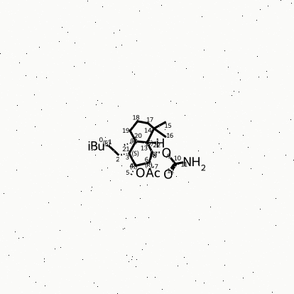 CC[C@@H](C)CC[C@H]1[C@@H](C)[C@@H](OC(C)=O)[C@@H](OC(N)=O)[C@H]2C(C)(C)CCC[C@]12C